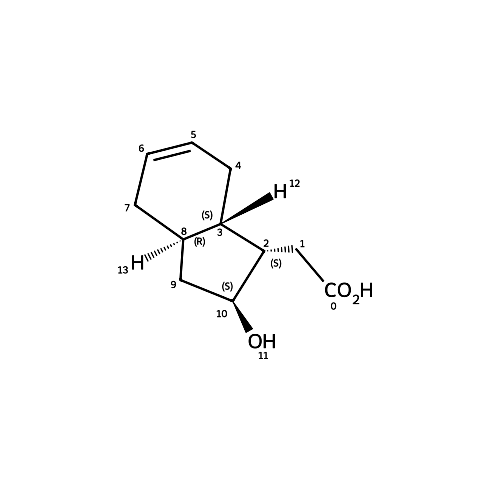 O=C(O)C[C@H]1[C@H]2CC=CC[C@@H]2C[C@@H]1O